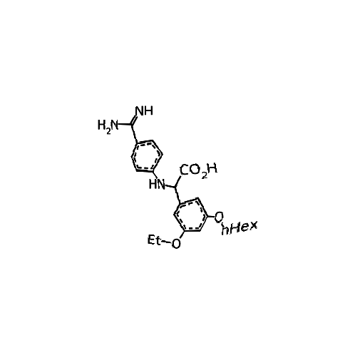 CCCCCCOc1cc(OCC)cc(C(Nc2ccc(C(=N)N)cc2)C(=O)O)c1